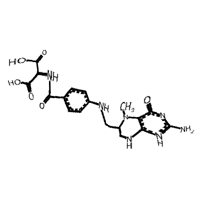 CN1c2c([nH]c(N)nc2=O)NCC1CNc1ccc(C(=O)NC(C(=O)O)C(=O)O)cc1